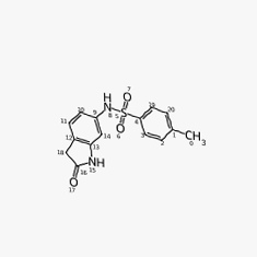 Cc1ccc(S(=O)(=O)Nc2ccc3c(c2)NC(=O)C3)cc1